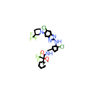 COC(C(=O)NCc1ccc(Cl)c(Nc2nc3cc(Cl)c(N4CCCC(C(F)(F)F)C4)cc3n2C)c1)(c1ccccc1)C(F)(F)F